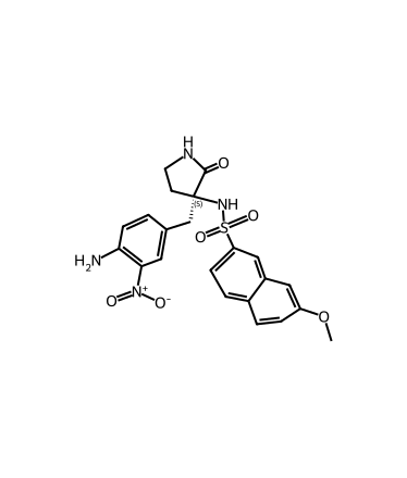 COc1ccc2ccc(S(=O)(=O)N[C@@]3(Cc4ccc(N)c([N+](=O)[O-])c4)CCNC3=O)cc2c1